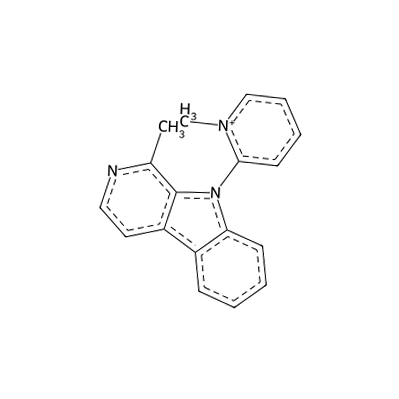 Cc1nccc2c3ccccc3n(-c3cccc[n+]3C)c12